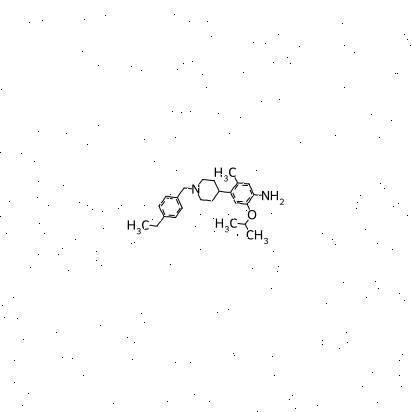 CCc1ccc(CN2CCC(c3cc(OC(C)C)c(N)cc3C)CC2)cc1